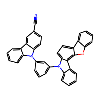 N#Cc1ccc2c(c1)c1ccccc1n2-c1cccc(-n2c3ccccc3c3c4oc5ccccc5c4ccc32)c1